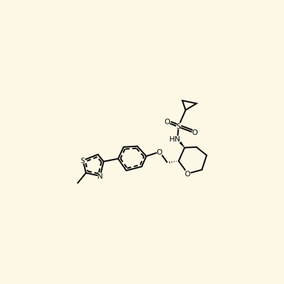 Cc1nc(-c2ccc(OC[C@H]3OCCC[C@@H]3NS(=O)(=O)C3CC3)cc2)cs1